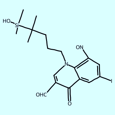 CC(C)(CCCn1cc(C=O)c(=O)c2cc(I)cc(N=O)c21)[Si](C)(C)O